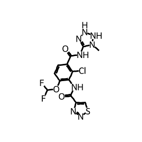 CN1NNN=C1NC(=O)c1ccc(OC(F)F)c(NC(=O)c2csnn2)c1Cl